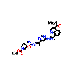 C=N/C(=N\C=C(/C)c1cc(NC[C@@H](C)c2cccc3c(C(=O)NC)ccnc23)ncn1)OC1CCCN(C(=O)OC(C)(C)C)C1